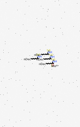 CCCCCCCCCCCCCCCCC(C)CNC(=S)[S-].CCCCCCCCCCCCCCCCC(C)CNC(=S)[S-].CCCCCCCCCCCCCCCCC(C)CNC(=S)[S-].CCCCCCCCCCCCCCCCC(C)CNC(=S)[S-].O=S.[Mo+4]